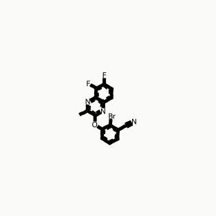 Cc1nc2c(F)c(F)ccc2nc1Oc1cccc(C#N)c1Br